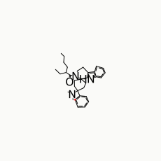 CCCCC(CC)C(=O)N1CCc2c([nH]c3ccccc23)C12CCC(c1ccccc1)(N(C)C)CC2